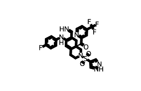 N=CC1=C(Nc2ccc(F)cc2)C=C2CCN(S(=O)(=O)c3cn[nH]c3)C[C@@]2(C(=O)c2cc(C(F)(F)F)ccn2)C1